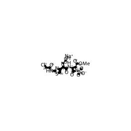 CCCON=C(C(=O)N[C@@H]1C(=O)N(S(=O)(=O)[O-])[C@@H]1C(=O)OC)c1csc(NC(=O)CCl)n1.[Na+]